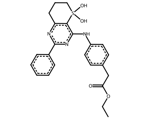 CCOC(=O)Cc1ccc(Nc2nc(-c3ccccc3)nc3c2S(O)(O)CCC3)cc1